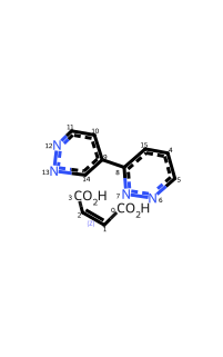 O=C(O)/C=C\C(=O)O.c1cnnc(-c2ccnnc2)c1